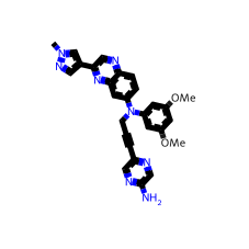 COc1cc(OC)cc(N(CC#Cc2cnc(N)cn2)c2ccc3ncc(-c4cnn(C)c4)nc3c2)c1